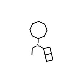 CCN(C1CCCCCCC1)C1CC2CCC21